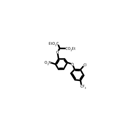 CCOC(=O)C(Oc1cc(Oc2ccc(C(F)(F)F)cc2Cl)ccc1[N+](=O)[O-])C(=O)OCC